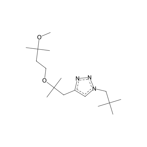 COC(C)(C)CCOC(C)(C)Cc1cn(CC(C)(C)C)nn1